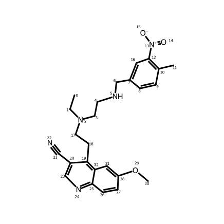 CCN(CCNCc1ccc(C)c([N+](=O)[O-])c1)CCc1c(C#N)cnc2ccc(OC)cc12